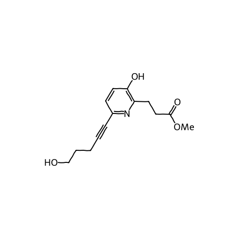 COC(=O)CCc1nc(C#CCCCO)ccc1O